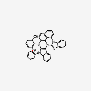 Cc1cccc(C)c1B1c2ccc3cccc4c3c2n(c2nc3ccccc3n42)-c2c1n(-c1ccccc1)c1ccccc21